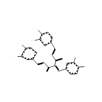 COc1ccc(C=C(C(=O)/C=C/c2ccc(OC)c(OC)c2)C(=O)/C=C/c2ccc(OC)c(OC)c2)cc1OC